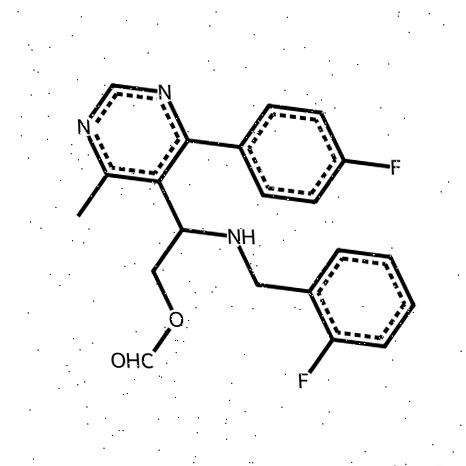 Cc1ncnc(-c2ccc(F)cc2)c1C(COC=O)NCc1ccccc1F